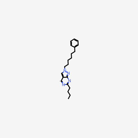 CCCCc1n[c]c2cn(CCCCCCc3ccccc3)nc2n1